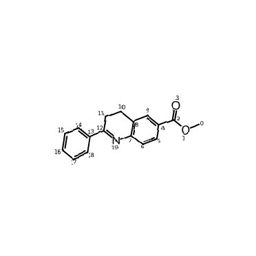 COC(=O)c1ccc2c(c1)CCC(c1ccccc1)=N2